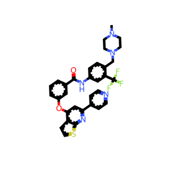 CN1CCN(Cc2ccc(NC(=O)c3cccc(Oc4cc(-c5ccncc5)nc5sccc45)c3)cc2C(F)(F)F)CC1